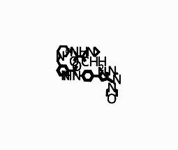 C=C(CN1CCC1)C(=O)N[C@@H]1CCCN(Cc2ccnc(C(=O)Nc3ccc(-c4cc5c(N6CCOCC6)ncnc5[nH]4)cc3)c2)C1